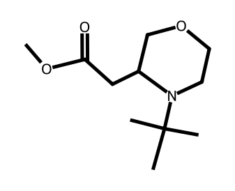 COC(=O)CC1COCCN1C(C)(C)C